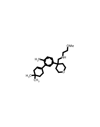 COCCNCC1(c2ccc(N)c(C3=CCC(C)(C)CC3)c2)CCOCC1